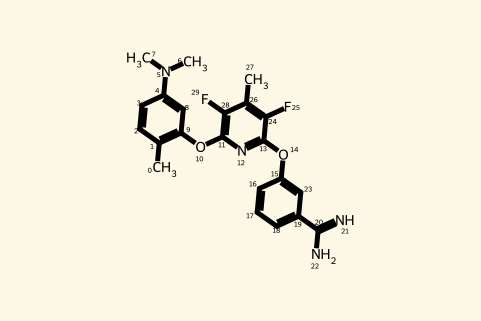 Cc1ccc(N(C)C)cc1Oc1nc(Oc2cccc(C(=N)N)c2)c(F)c(C)c1F